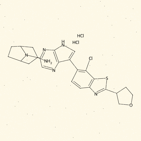 Cl.Cl.NC1CC2CCC(C1)N2c1cnc2c(-c3ccc4nc(C5CCOC5)sc4c3Cl)c[nH]c2n1